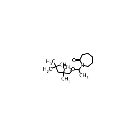 CC(OCC(C)(C)CC(C)(C)C)N1CCCCCC1=O